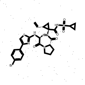 C=C[C@@H]1C[C@]1(NC(=O)[C@@H]1CCCN1C(=O)[C@@H](Nc1nc(-c2ccc(Br)cc2)cs1)C(C)(C)C)C(=O)NS(=O)(=O)C1CC1